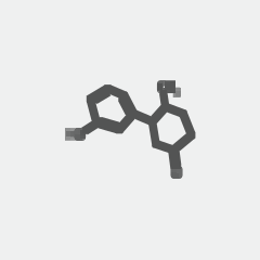 CC1CCC(=O)CC1c1cccc(O)c1